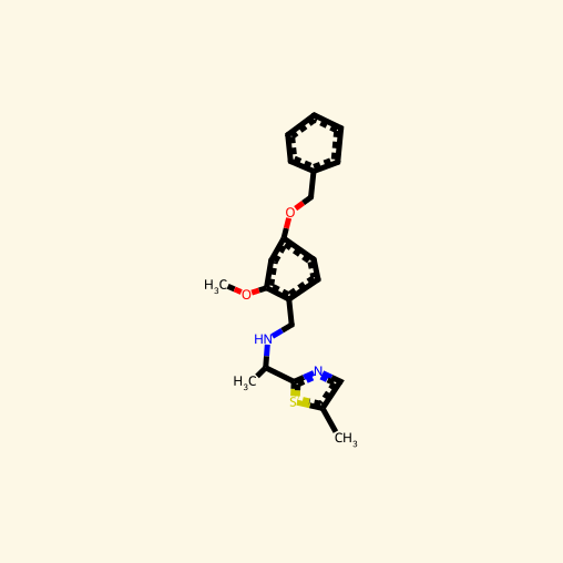 COc1cc(OCc2ccccc2)ccc1CNC(C)c1ncc(C)s1